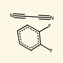 Fc1ccccc1F.N#CC#N